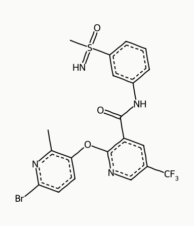 Cc1nc(Br)ccc1Oc1ncc(C(F)(F)F)cc1C(=O)Nc1cccc(S(C)(=N)=O)c1